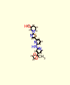 CC1(c2ccnc(Nc3cccc(-c4cnc(N5CCCC(O)C5)s4)n3)c2)OCCO1